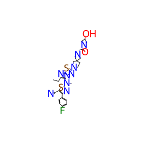 CCc1nc2sc(N3CCC4(CN(CC(=O)N5CC(O)C5)C4)C3)nn2c1N(C)c1nc(-c2ccc(F)cc2)c(C#N)s1